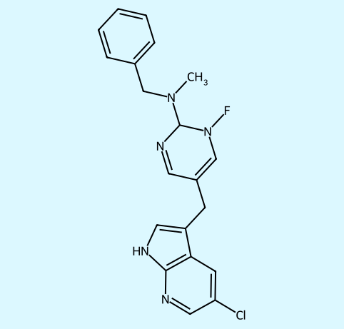 CN(Cc1ccccc1)C1N=CC(Cc2c[nH]c3ncc(Cl)cc23)=CN1F